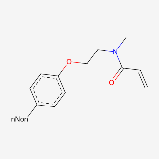 C=CC(=O)N(C)CCOc1ccc(CCCCCCCCC)cc1